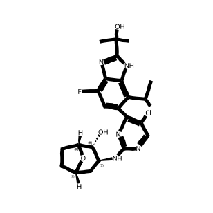 CC(C)c1c(-c2nc(N[C@H]3C[C@@H]4CC[C@@H](O4)[C@@H]3O)ncc2Cl)cc(F)c2nc(C(C)(C)O)[nH]c12